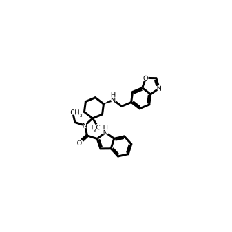 CCN(C(=O)c1cc2ccccc2[nH]1)C1(C)CCC[C@@H](NCc2ccc3ncoc3c2)C1